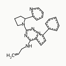 C=CCNc1nc(N2CCCC2c2ccccn2)nn2c(-c3ccccc3)ccc12